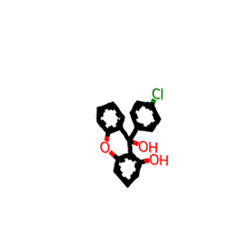 Oc1cccc2c1C(O)(c1ccc(Cl)cc1)c1ccccc1O2